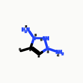 CC1=CN(N)NN1N